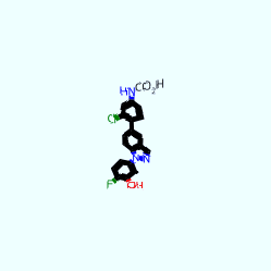 O=C(O)Nc1ccc(-c2ccc3c(cnn3-c3ccc(F)c(O)c3)c2)c(Cl)c1